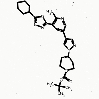 CC(C)(C)OC(=O)N1CCC(n2cc(-c3cnc(N)c(-c4nnc(C5CCCCC5)o4)c3)cn2)CC1